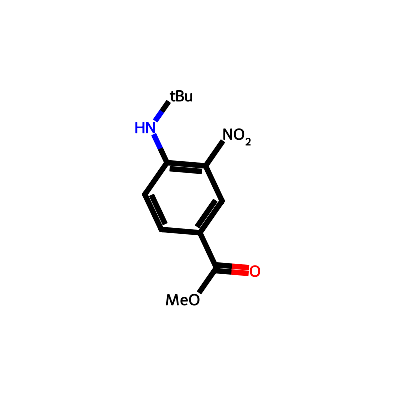 COC(=O)c1ccc(NC(C)(C)C)c([N+](=O)[O-])c1